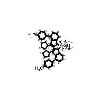 CCC[SiH](C)[Zr]([Cl])([Cl])([CH]1C(CC2CCCC2)=Cc2c(-c3ccc(C)cc3)cccc21)[CH]1C(CC2CCCC2)=Cc2c(-c3ccc(C)cc3)cccc21